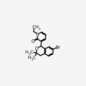 CCn1cccc(C2OC(C)(C)Cc3ccc(Br)cc32)c1=O